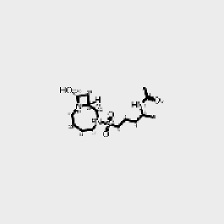 CC(=O)NC(C)CCCS(=O)(=O)N1CCCCN2[C@H](C[C@H]2O)C1